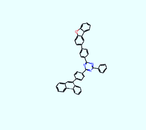 c1ccc(-c2nc(-c3ccc(-c4ccc5oc6ccccc6c5c4)cc3)nc(-c3ccc(-c4cc5ccccc5c5ccccc45)cc3)n2)cc1